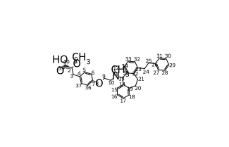 COC(Cc1ccc(OCCN(C)C2c3ccccc3CCc3c(CCc4ccccc4)cccc32)cc1)C(=O)O